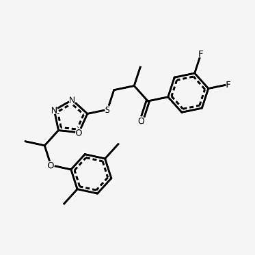 Cc1ccc(C)c(OC(C)c2nnc(SCC(C)C(=O)c3ccc(F)c(F)c3)o2)c1